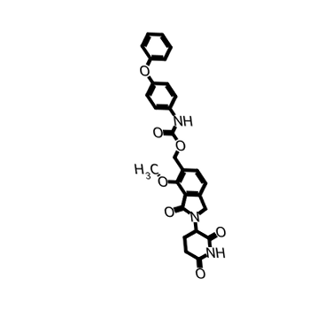 COc1c(COC(=O)Nc2ccc(Oc3ccccc3)cc2)ccc2c1C(=O)N(C1CCC(=O)NC1=O)C2